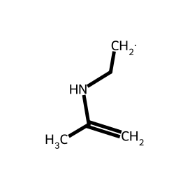 [CH2]CNC(=C)C